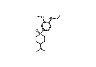 CCNc1ccc(P2(=O)CCC(N(C)C)CC2)cc1OC